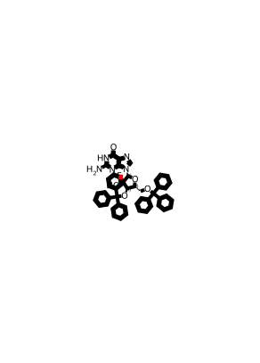 Nc1nc2c(ncn2[C@@H]2O[C@H](COC(c3ccccc3)(c3ccccc3)c3ccccc3)[C@@H](OC(c3ccccc3)(c3ccccc3)c3ccccc3)[C@@]2(O)F)c(=O)[nH]1